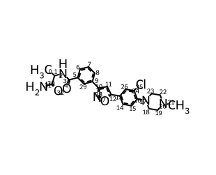 CC(NC(=O)c1cccc(-c2cc(-c3ccc(N4CCN(C)CC4)c(Cl)c3)on2)c1)C(N)=O